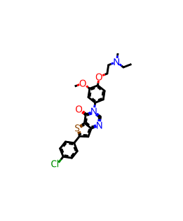 CCN(C)CCOc1ccc(-n2cnc3cc(-c4ccc(Cl)cc4)sc3c2=O)cc1OC